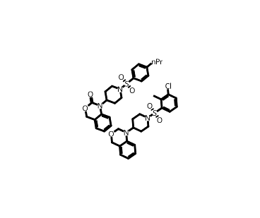 CCCc1ccc(S(=O)(=O)N2CCC(N3C(=O)OCc4ccccc43)CC2)cc1.Cc1c(Cl)cccc1S(=O)(=O)N1CCC(N2COCc3ccccc32)CC1